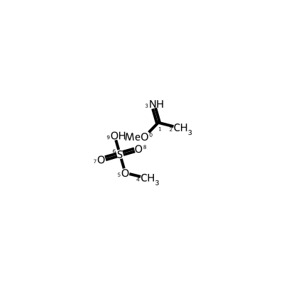 COC(C)=N.COS(=O)(=O)O